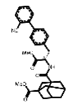 COC(=O)[C@H](Cc1ccc(-c2ccccc2C#N)cc1)NC(=O)C12CC3CC(C1)CC(C(=O)OC)(C3)C2